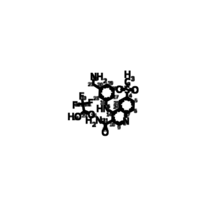 CS(=O)(=O)c1ccc2ncc(C(N)=O)c(Nc3cccc(CN)c3)c2c1.O=C(O)C(F)(F)F